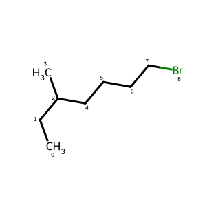 CCC(C)CCCCBr